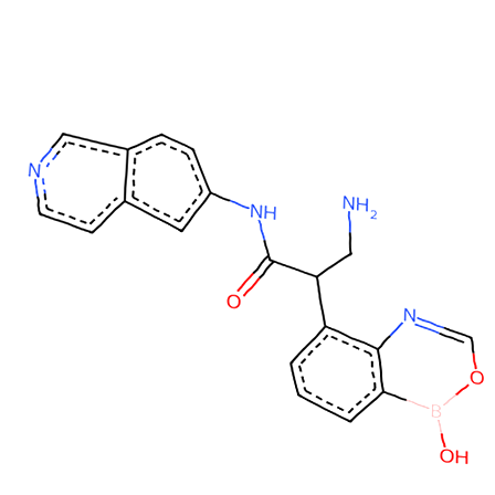 NCC(C(=O)Nc1ccc2cnccc2c1)c1cccc2c1N=COB2O